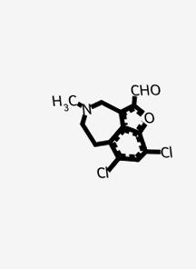 CN1CCc2c(Cl)cc(Cl)c3oc(C=O)c(c23)C1